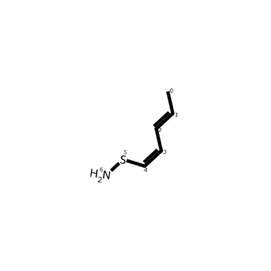 C/C=C/C=C\SN